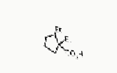 CCC1CCCC1(CC)C(=O)O